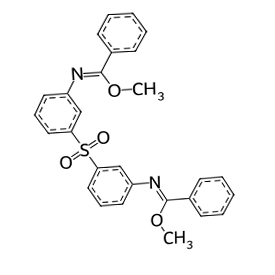 COC(=Nc1cccc(S(=O)(=O)c2cccc(N=C(OC)c3ccccc3)c2)c1)c1ccccc1